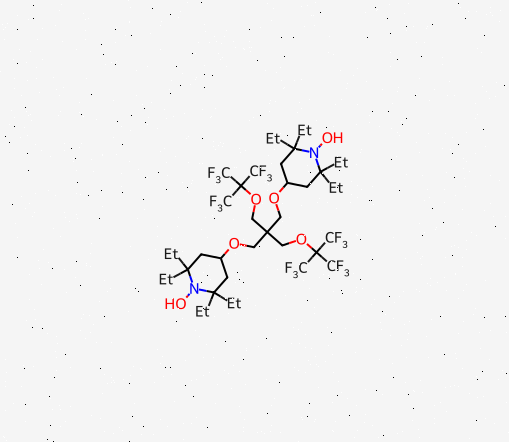 CCC1(CC)CC(OCC(COC2CC(CC)(CC)N(O)C(CC)(CC)C2)(COC(C(F)(F)F)(C(F)(F)F)C(F)(F)F)COC(C(F)(F)F)(C(F)(F)F)C(F)(F)F)CC(CC)(CC)N1O